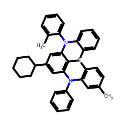 Cc1ccc2c(c1)N(c1ccccc1)c1cc(C3CCCCC3)cc3c1B2c1ccccc1N3c1ccccc1C